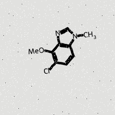 COc1c(Cl)ccc2c1ncn2C